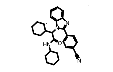 N#Cc1ccc(-c2nc3ccccc3n2C(C(=O)NC2CCCCC2)C2CCCCC2)cc1